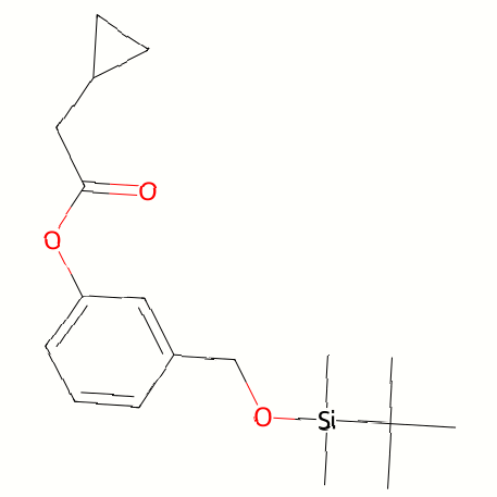 CC(C)(C)[Si](C)(C)OCc1cccc(OC(=O)CC2CC2)c1